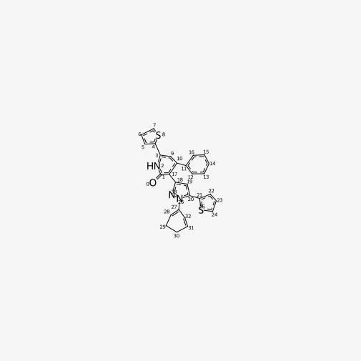 O=c1[nH]c(-c2cccs2)cc(-c2ccccc2)c1-c1cc(-c2cccs2)n(C2=CCCC=C2)n1